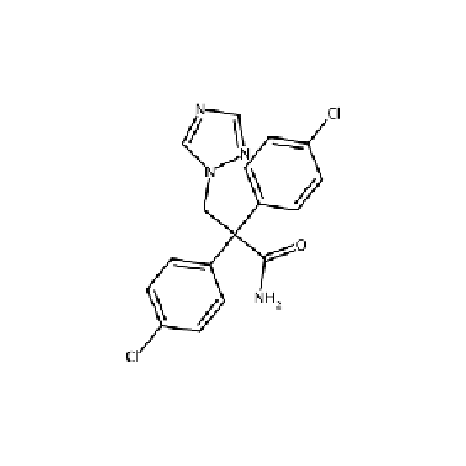 NC(=O)C(Cn1cncn1)(c1ccc(Cl)cc1)c1ccc(Cl)cc1